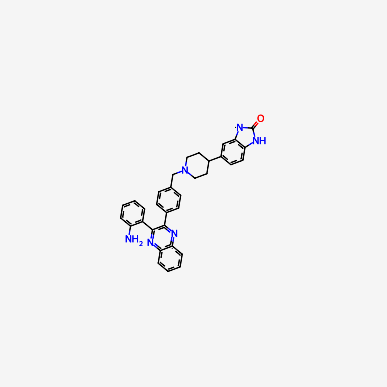 Nc1ccccc1-c1nc2ccccc2nc1-c1ccc(CN2CCC(c3ccc4c(c3)[N]C(=O)N4)CC2)cc1